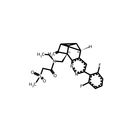 C=C1C23C4C2[C@]1(CN(CC)C(=O)CS(C)(=O)=O)c1nnc(-c2c(F)cccc2F)cc1[C@H]43